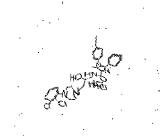 Cc1ccc(-n2c(-c3ccccc3)nc(C(=O)NCC(O)CN3CCN(c4cccc(Cl)c4Cl)CC3)c2C)cc1.Cl.Cl